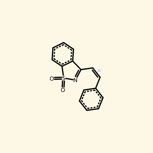 O=S1(=O)N=C(/C=C\c2ccccc2)c2ccccc21